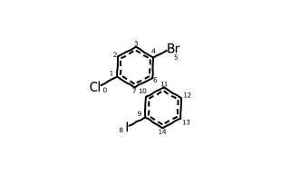 Clc1ccc(Br)cc1.Ic1ccccc1